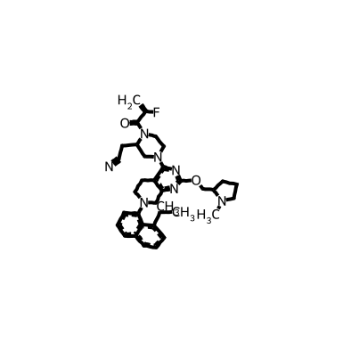 C=C(F)C(=O)N1CCN(c2nc(OCC3CCCN3C)nc3c2CCN(c2cccc4cccc(C(C)C)c24)C3)CC1CC#N